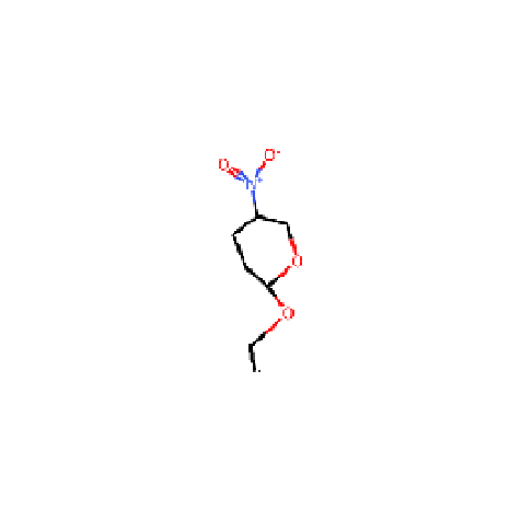 [CH2]COC1CCC([N+](=O)[O-])CO1